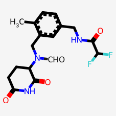 Cc1ccc(CNC(=O)C(F)F)cc1CN(C=O)C1CCC(=O)NC1=O